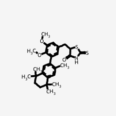 COc1cc(CC2SC(=S)NC2=O)cc(-c2cc3c(cc2C)C(C)(C)CCC3(C)C)c1OC